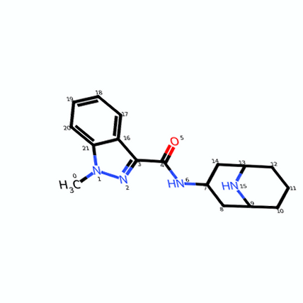 Cn1nc(C(=O)NC2CC3CCCC(C2)N3)c2ccccc21